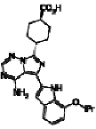 CC(C)Oc1cccc2cc(-c3nc([C@H]4CC[C@H](C(=O)O)CC4)n4ncnc(N)c34)[nH]c12